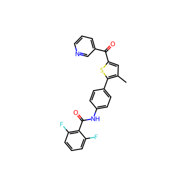 Cc1cc(C(=O)c2cccnc2)sc1-c1ccc(NC(=O)c2c(F)cccc2F)cc1